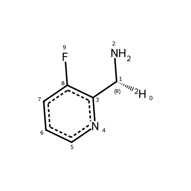 [2H][C@@H](N)c1ncccc1F